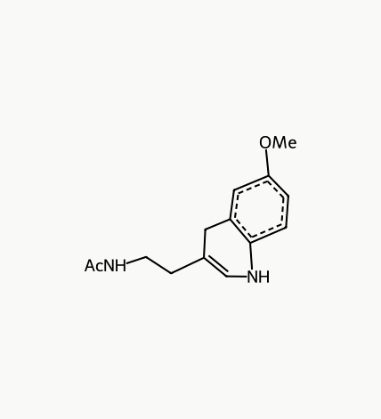 COc1ccc2c(c1)CC(CCNC(C)=O)=CN2